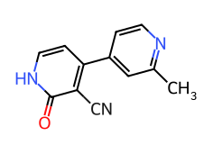 Cc1cc(-c2cc[nH]c(=O)c2C#N)ccn1